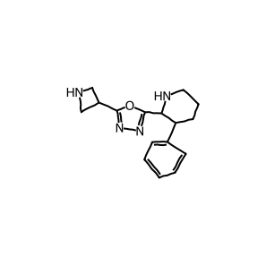 c1ccc(C2CCCNC2c2nnc(C3CNC3)o2)cc1